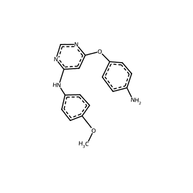 COc1ccc(Nc2cc(Oc3ccc(N)cc3)ncn2)cc1